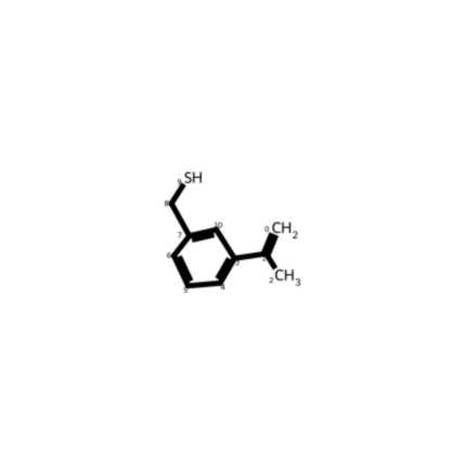 C=C(C)c1cccc(CS)c1